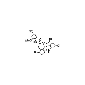 COc1cc(C#N)ccc1NC(=O)O[C@H]1N[C@@H](CC(C)(C)C)[C@@]2(C(=O)Nc3cc(Cl)ccc32)[C@H]1c1cccc(Br)c1F